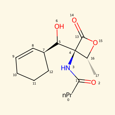 CCCC(=O)N[C@@]1(C(O)[C@@H]2C=CCCC2)C(=O)O[C@@H]1C